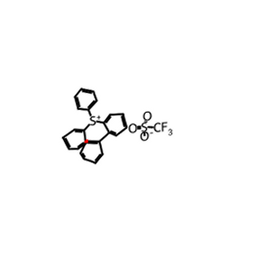 O=S(=O)([O-])C(F)(F)F.c1ccc(-c2ccccc2[S+](c2ccccc2)c2ccccc2)cc1